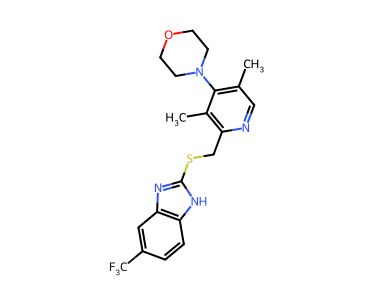 Cc1cnc(CSc2nc3cc(C(F)(F)F)ccc3[nH]2)c(C)c1N1CCOCC1